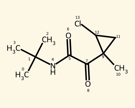 CC(C)(C)NC(=O)C(=O)C1(C)CC1Cl